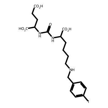 O=C(O)CCC(NC(=O)NC(CCCCNCc1ccc(I)cc1)C(=O)O)C(=O)O